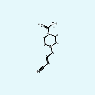 N#C/C=C/CN1CCN(C(=O)O)CC1